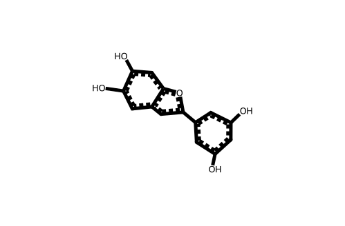 Oc1cc(O)cc(-c2cc3cc(O)c(O)cc3o2)c1